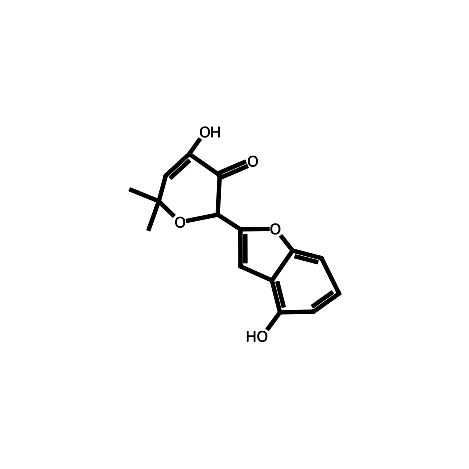 CC1(C)C=C(O)C(=O)C(c2cc3c(O)cccc3o2)O1